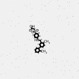 Cc1ccc(-c2ccccc2C)cc1CNc1ccc(S(=O)(=O)CC(=O)O)cc1